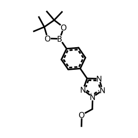 COCn1nnc(-c2ccc(B3OC(C)(C)C(C)(C)O3)cc2)n1